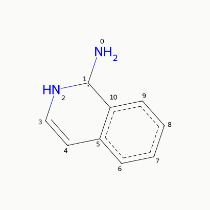 N[C]1NC=Cc2ccccc21